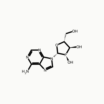 Nc1ncnc2c1ncn2[C@@H]1O[C@H](CO)[C@@H](O)[P@@]1O